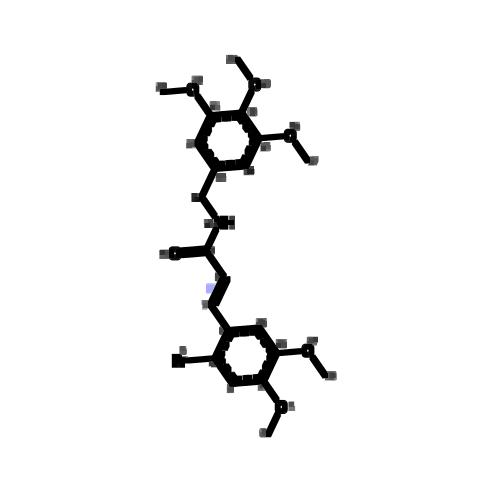 COc1cc(Br)c(/C=C/C(=O)NCc2cc(OC)c(OC)c(OC)c2)cc1OC